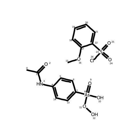 CC(=O)Nc1ccc([As](=O)(O)OO)cc1.COc1ccccc1S(=O)(=O)Cl